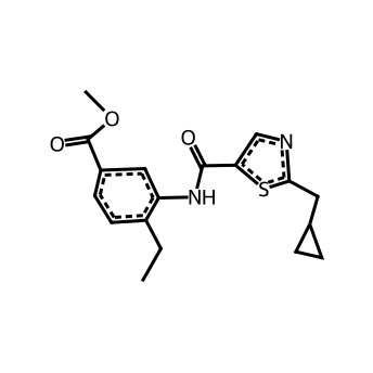 CCc1ccc(C(=O)OC)cc1NC(=O)c1cnc(CC2CC2)s1